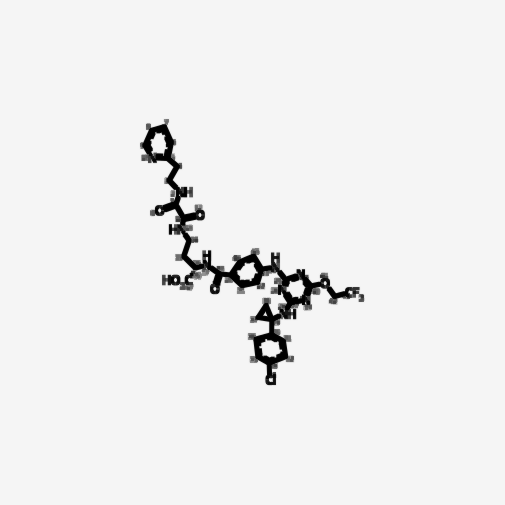 O=C(NCCc1ccccn1)C(=O)NCC[C@H](NC(=O)c1ccc(Nc2nc(NC3(c4ccc(Cl)cc4)CC3)nc(OCC(F)(F)F)n2)cc1)C(=O)O